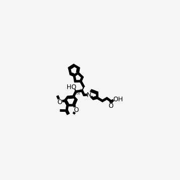 C=C(C)c1c(OC)cc([C@@H](O)[C@@H](CC2Cc3ccccc3C2)Cn2ccc(CCC(=O)O)c2)cc1OC